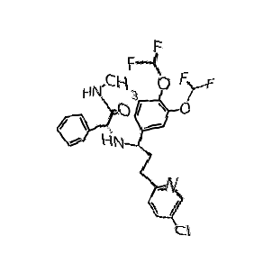 CNC(=O)[C@H](N[C@H](CCc1ccc(Cl)cn1)c1ccc(OC(F)F)c(OC(F)F)c1)c1ccccc1